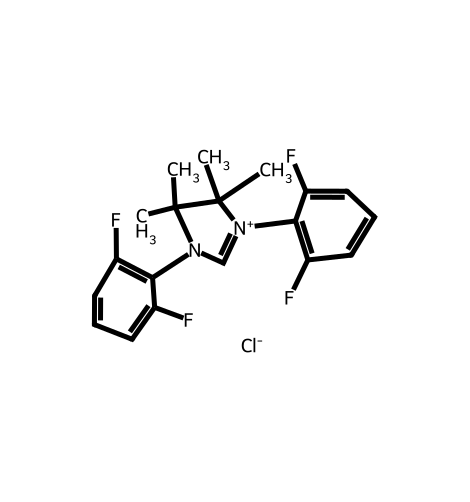 CC1(C)N(c2c(F)cccc2F)C=[N+](c2c(F)cccc2F)C1(C)C.[Cl-]